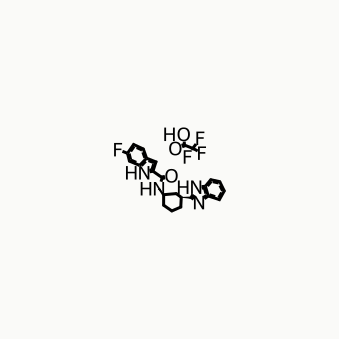 O=C(N[C@@H]1CCC[C@H](c2nc3ccccc3[nH]2)C1)c1cc2ccc(F)cc2[nH]1.O=C(O)C(F)(F)F